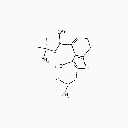 CC[C@](C)(I)OB(OC)C1=CCCc2oc(CC(C)Cl)c(C)c21